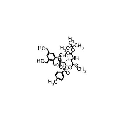 COC(=O)[C@H](C[C@H](OS(=O)(=O)c1ccc(C)cc1)C(=O)NCc1c(CO)cc(CO)cc1OC)NC(=O)OC(C)(C)C